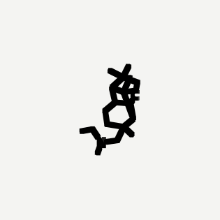 CCN(C)CC1(C)CCC2C3CCC(C)(C)C2C(C)(C)C31